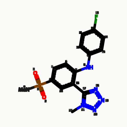 CNS(=O)(=O)c1ccc(Nc2ccc(F)cc2)c(-c2nnnn2C)c1